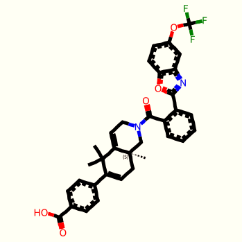 CC1(C)C(c2ccc(C(=O)O)cc2)=CC[C@]2(C)CN(C(=O)c3ccccc3-c3nc4cc(OC(F)(F)F)ccc4o3)CC=C12